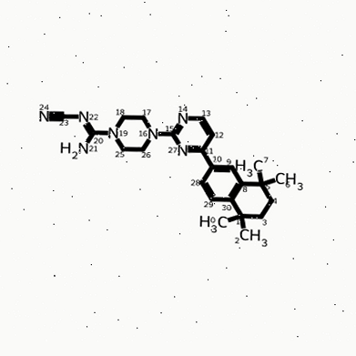 CC1(C)CCC(C)(C)c2cc(-c3ccnc(N4CCN(/C(N)=N/C#N)CC4)n3)ccc21